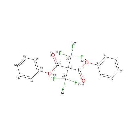 O=C(Oc1ccccc1)C(C(=O)Oc1ccccc1)(C(F)(F)F)C(F)(F)F